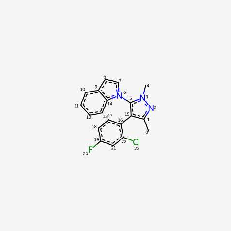 Cc1nn(C)c(-n2ccc3ccccc32)c1-c1ccc(F)cc1Cl